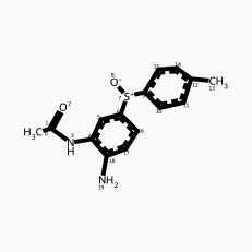 CC(=O)Nc1cc([S+]([O-])c2ccc(C)cc2)ccc1N